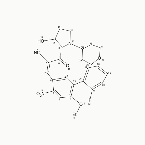 CCOc1cc([N+](=O)[O-])c(C=C(C#N)C(=O)[C@@H]2C(O)CCN2C2CCOCC2)cc1-c1ccccc1F